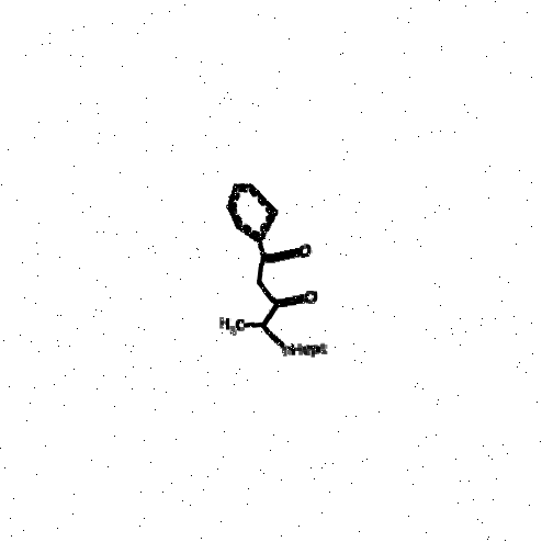 CCCCCCCC(C)C(=O)CC(=O)c1ccccc1